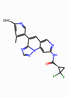 Cc1cc(C=O)ncc1-c1cc2cnc(NC(=O)[C@H]3CC3(F)F)cc2n2ncnc12